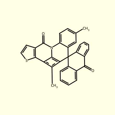 Cc1ccc2c(c1)C1(c3ccccc3C(=O)c3ccccc31)c1cc(C)cc3c4sccc4c(=O)n-2c13